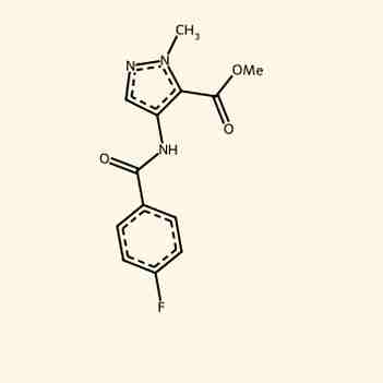 COC(=O)c1c(NC(=O)c2ccc(F)cc2)cnn1C